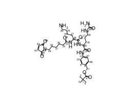 CC(C)(C)C(=O)OCc1ccc(NC(=O)[C@H](CCCNC(N)=O)NC(=O)[C@H](CCCCN)NC(=O)CCCCCN2C(=O)C=CC2=O)cc1